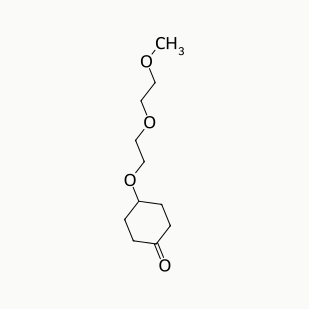 COCCOCCOC1CCC(=O)CC1